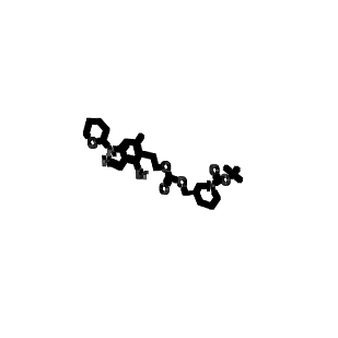 Cc1cc2c(cnn2C2CCCCO2)c(Br)c1CCOC(=O)OC[C@@H]1CCCN(C(=O)OC(C)(C)C)C1